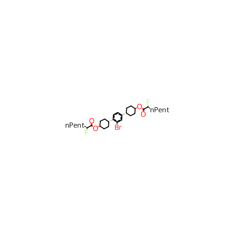 CCCCC[C@H](F)C(=O)O[C@H]1CC[C@H](c2ccc([C@H]3CC[C@H](OC(=O)[C@@H](F)CCCCC)CC3)c(Br)c2)CC1